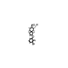 Cc1c(Br)cccc1OC1CCC2(CCN(C(=O)O)CC2)C1